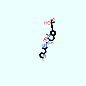 CN1C(=O)[C@H](NC(=O)n2cc(Cc3cccc(F)n3)cn2)CCc2ccc(C#CC3(O)COC3)cc21